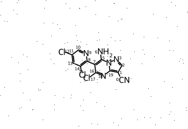 N#Cc1cnn2c(N)c(-c3ncc(Cl)cc3Cl)c(Cl)nc12